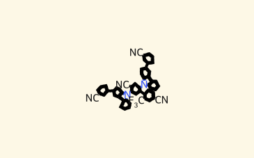 N#Cc1cccc(-c2ccc3c(c2)c2ccccc2n3-c2cc(-c3ccc(C#N)cc3C(F)(F)F)c(-n3c4ccccc4c4cc(-c5cccc(C#N)c5)ccc43)cc2C#N)c1